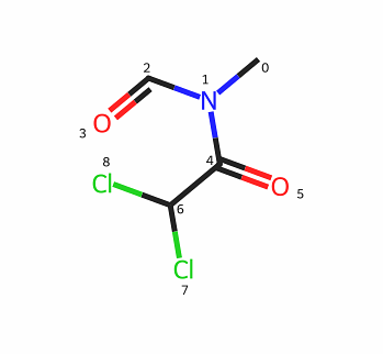 CN(C=O)C(=O)C(Cl)Cl